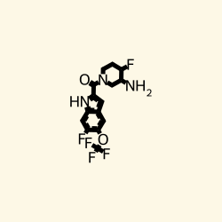 NC1CN(C(=O)c2cc3cc(OC(F)(F)F)c(F)cc3[nH]2)CCC1F